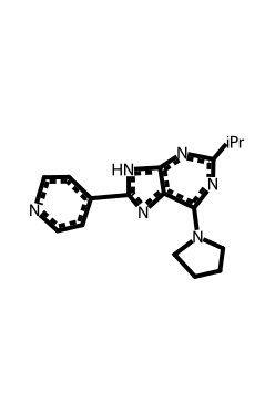 CC(C)c1nc(N2CCCC2)c2nc(-c3ccncc3)[nH]c2n1